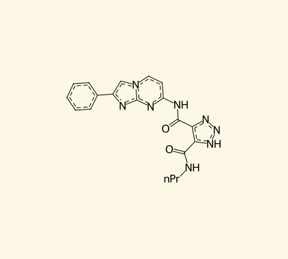 CCCNC(=O)c1[nH]nnc1C(=O)Nc1ccn2cc(-c3ccccc3)nc2n1